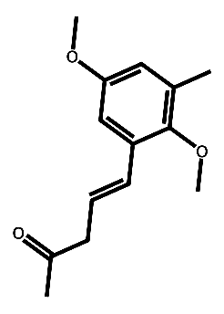 COc1cc(C)c(OC)c(/C=C/CC(C)=O)c1